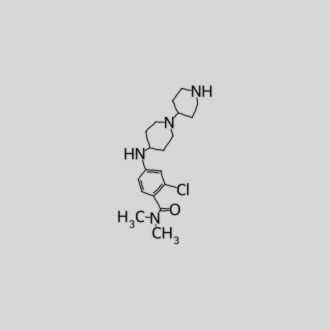 CN(C)C(=O)c1ccc(NC2CCN(C3CCNCC3)CC2)cc1Cl